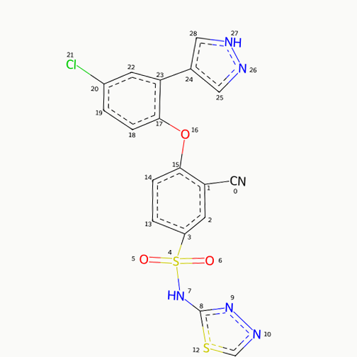 N#Cc1cc(S(=O)(=O)Nc2nncs2)ccc1Oc1ccc(Cl)cc1-c1cn[nH]c1